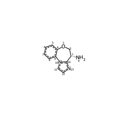 N[C@H]1COc2ccccc2-n2ccnc21